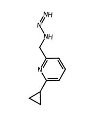 N=NNCc1cccc(C2CC2)n1